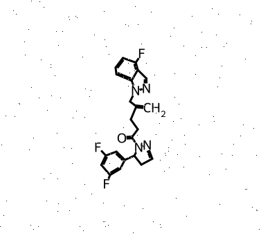 C=C(CCC(=O)N1N=CCC1c1cc(F)cc(F)c1)Cn1ncc2c(F)cccc21